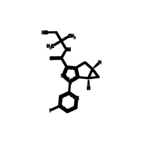 CC(C)(CO)NC(=O)c1nn(-c2cc(I)ccn2)c2c1C[C@H]1C[C@@H]21